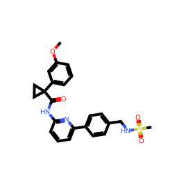 COc1cccc(C2(C(=O)Nc3cccc(-c4ccc(CNS(C)(=O)=O)cc4)n3)CC2)c1